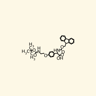 CC(C)(C)OC(=O)NCCOc1ccc([C](NC(=O)OCC2c3ccccc3-c3ccccc32)C(=O)O)cc1